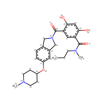 CCCN(C)C(=O)c1cc(C(=O)N2Cc3ccc(OC4CCN(C)CC4)cc3C2)c(O)cc1O